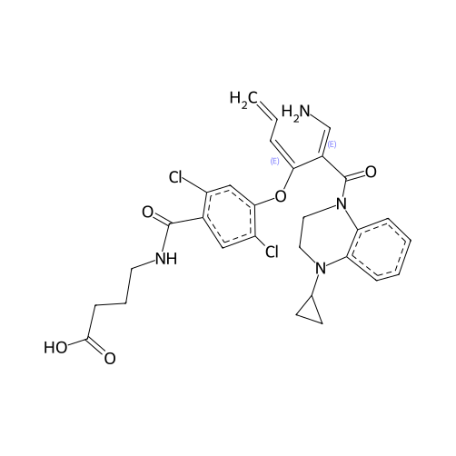 C=C/C=C(Oc1cc(Cl)c(C(=O)NCCCC(=O)O)cc1Cl)\C(=C/N)C(=O)N1CCN(C2CC2)c2ccccc21